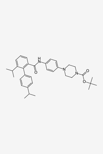 CC(C)c1ccc(-c2c(C(=O)Nc3ccc(N4CCN(C(=O)OC(C)(C)C)CC4)cc3)cccc2C(C)C)cc1